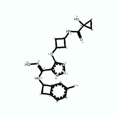 O=C(NC1CC(Oc2nonc2/C(=N/O)NC2Cc3ccc(F)cc32)C1)C1(O)CC1